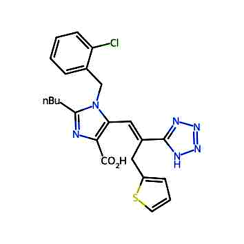 CCCCc1nc(C(=O)O)c(/C=C(\Cc2cccs2)c2nnn[nH]2)n1Cc1ccccc1Cl